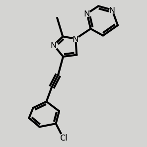 Cc1nc(C#Cc2cccc(Cl)c2)cn1-c1ccncn1